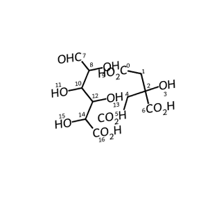 O=C(O)CC(O)(CC(=O)O)C(=O)O.O=CC(O)C(O)C(O)C(O)C(=O)O